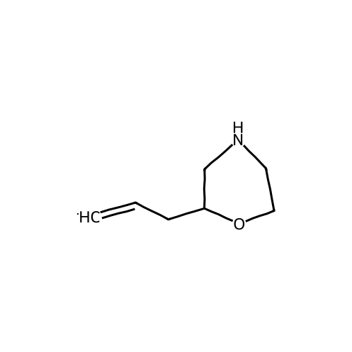 [CH]=CCC1CNCCO1